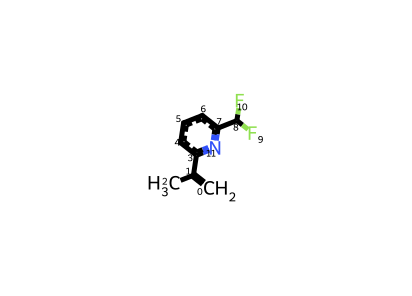 C=C(C)c1cccc(C(F)F)n1